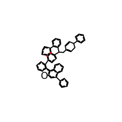 C1=CC(c2ccccc2)CC=C1CC(c1ccc(-c2cccc3oc4cc(-c5ccccc5)c5ccccc5c4c23)cc1)c1ccccc1-c1ccccc1